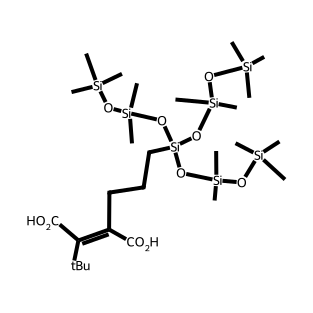 CC(C)(C)/C(C(=O)O)=C(/CCC[Si](O[Si](C)(C)O[Si](C)(C)C)(O[Si](C)(C)O[Si](C)(C)C)O[Si](C)(C)O[Si](C)(C)C)C(=O)O